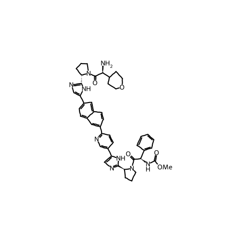 COC(=O)N[C@@H](C(=O)N1CCC[C@H]1c1ncc(-c2ccc(-c3ccc4cc(-c5cnc([C@@H]6CCCN6C(=O)[C@@H](N)C6CCOCC6)[nH]5)ccc4c3)nc2)[nH]1)c1ccccc1